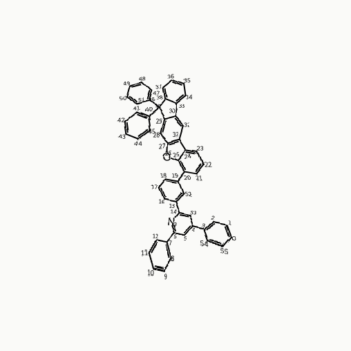 c1ccc(-c2cc(-c3ccccc3)nc(-c3cccc(-c4cccc5c4oc4cc6c(cc45)-c4ccccc4C6(c4ccccc4)c4ccccc4)c3)c2)cc1